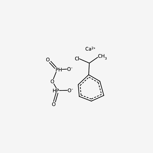 CC(Cl)c1ccccc1.O=[PH]([O-])O[PH](=O)[O-].[Ca+2]